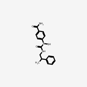 CC(CNC(=O)N(S)c1ccc(C(N)=O)cc1)c1ccccc1